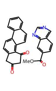 COC(=O)c1ccc2cncnc2c1.O=C1CC(=O)c2c(ccc3c2ccc2ccccc23)C1